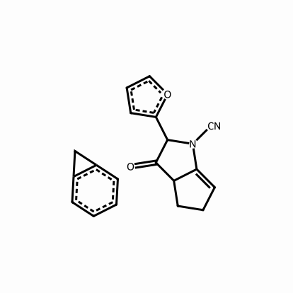 N#CN1C2=CCCC2C(=O)C1c1ccco1.c1ccc2c(c1)C2